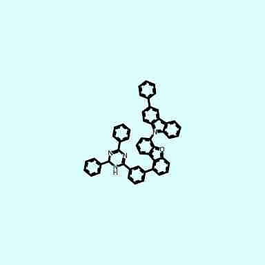 c1ccc(C2=NC(c3ccccc3)NC(c3cccc(-c4cccc5oc6c(-n7c8ccccc8c8cc(-c9ccccc9)ccc87)cccc6c45)c3)=N2)cc1